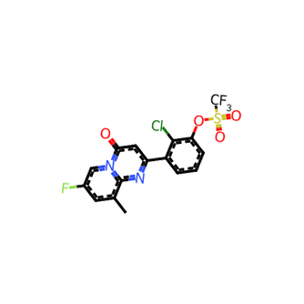 Cc1cc(F)cn2c(=O)cc(-c3cccc(OS(=O)(=O)C(F)(F)F)c3Cl)nc12